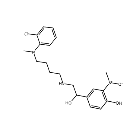 CN(CCCCNCC(O)c1ccc(O)c([S+](C)[O-])c1)c1ccccc1Cl